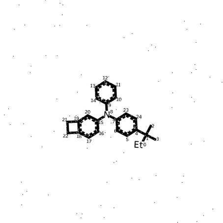 CCC(C)(C)c1ccc(N(c2ccccc2)c2ccc3c(c2)CC3)cc1